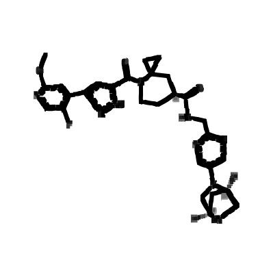 COc1cc(-c2cc(C(=O)N3CC[C@H](C(=O)NCc4ncc(N5C[C@H]6C[C@@H]5CN6)cn4)CC34CC4)[nH]n2)c(F)cn1